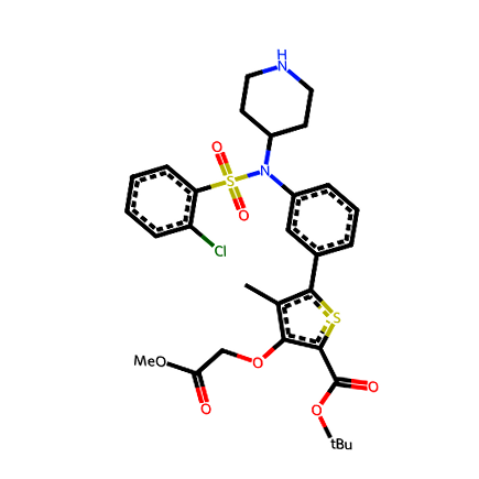 COC(=O)COc1c(C(=O)OC(C)(C)C)sc(-c2cccc(N(C3CCNCC3)S(=O)(=O)c3ccccc3Cl)c2)c1C